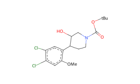 COc1cc(Cl)c(Cl)cc1C1CCN(C(=O)OC(C)(C)C)CC1O